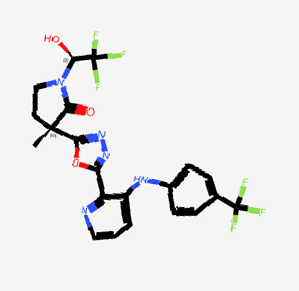 C[C@@]1(c2nnc(-c3ncccc3Nc3ccc(C(F)(F)F)cc3)o2)CCN([C@@H](O)C(F)(F)F)C1=O